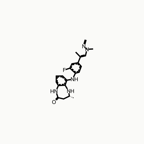 C=NN(C)/C=C(\C)c1ccc(Nc2cccc3c2N[C@H](C)CC(=O)N3)c(F)c1